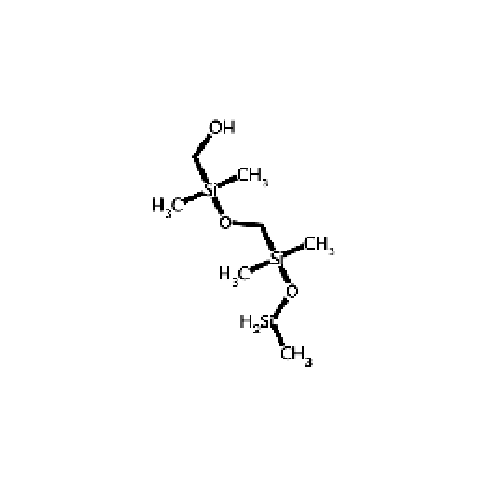 C[SiH2]O[Si](C)(C)CO[Si](C)(C)CO